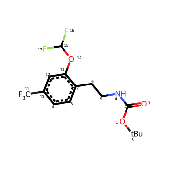 CC(C)(C)OC(=O)NCCc1ccc(C(F)(F)F)cc1OC(F)F